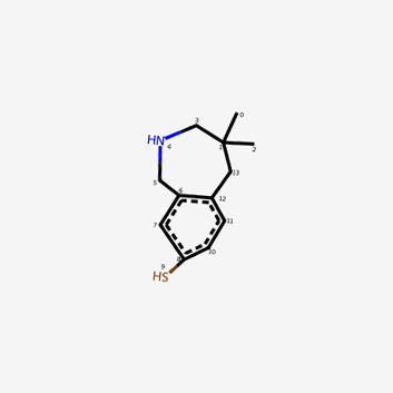 CC1(C)CNCc2cc(S)ccc2C1